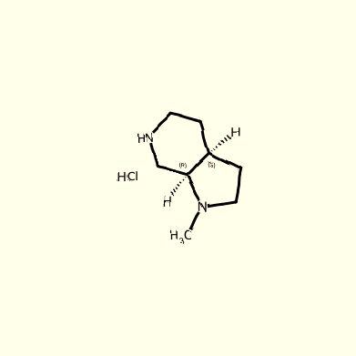 CN1CC[C@@H]2CCNC[C@@H]21.Cl